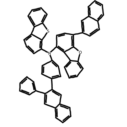 c1ccc(-c2cc3ccccc3cc2-c2ccc(N(c3cccc4c3sc3ccccc34)c3ccc(-c4ccc5ccccc5c4)c4oc5ccccc5c34)cc2)cc1